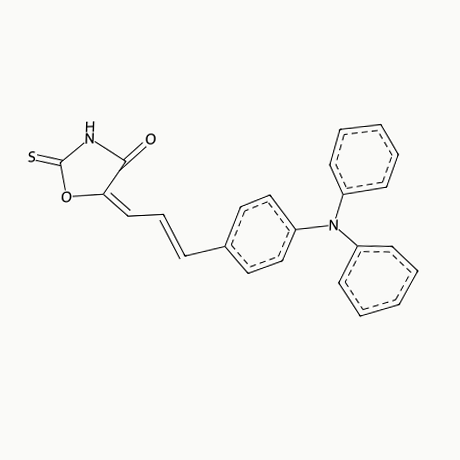 O=C1NC(=S)OC1=CC=Cc1ccc(N(c2ccccc2)c2ccccc2)cc1